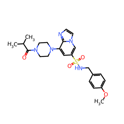 COc1ccc(CNS(=O)(=O)c2cc(N3CCN(C(=O)C(C)C)CC3)c3nccn3c2)cc1